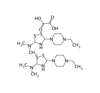 CCN1CCN(C2NC(N(C)C)SS2)CC1.CCN1CCN(C2NC(N(C)C)SS2)CC1.O=C(O)C(=O)O